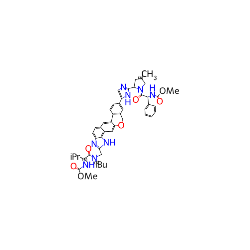 CC[C@H](C)N(Cc1nc2ccc3cc4c(cc3c2[nH]1)OCc1cc(-c2cnc(C3C[C@H](C)CN3C(=O)C(NC(=O)OC)c3ccccc3)[nH]2)ccc1-4)C(=O)[C@@H](NC(=O)OC)C(C)C